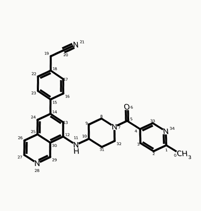 Cc1ccc(C(=O)N2CCC(Nc3cc(-c4ccc(CC#N)cc4)cc4ccncc34)CC2)cn1